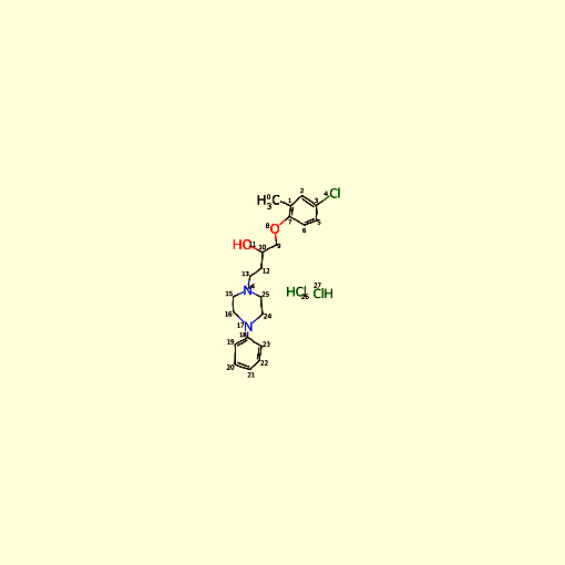 Cc1cc(Cl)ccc1OCC(O)CCN1CCN(c2ccccc2)CC1.Cl.Cl